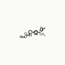 CC(c1ccc(N2CCC[C@@H](NC(=O)OC(C)(C)C)C2)nn1)n1cnc(I)c1